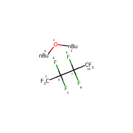 CCCCOCCCC.FC(F)(F)C(F)(F)C(F)(F)C(F)(F)F